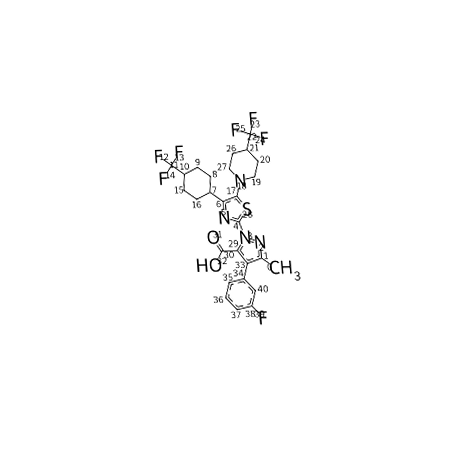 Cc1nn(-c2nc(C3CCC(C(F)(F)F)CC3)c(N3CCC(C(F)(F)F)CC3)s2)c(C(=O)O)c1-c1cccc(F)c1